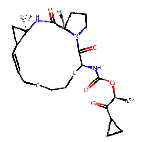 CC(C)[C@H](OC(=O)N[C@H]1CCCCC/C=C\C2C[C@@]2(C(=O)O)NC(=O)[C@@H]2CCCN2C1=O)C(=O)C1CC1